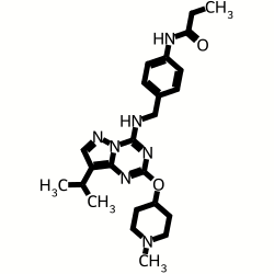 CCC(=O)Nc1ccc(CNc2nc(OC3CCN(C)CC3)nc3c(C(C)C)cnn23)cc1